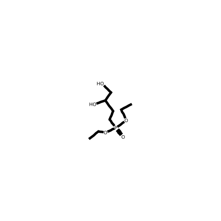 CCOP(=O)(CCC(O)CO)OCC